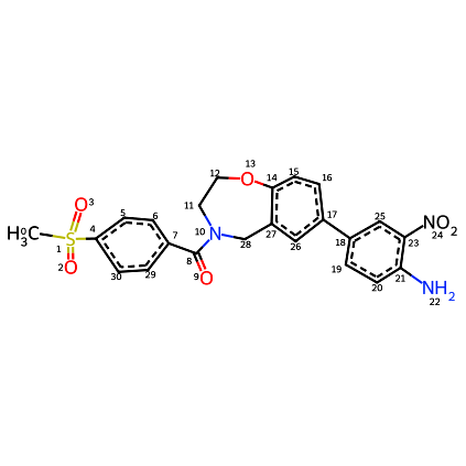 CS(=O)(=O)c1ccc(C(=O)N2CCOc3ccc(-c4ccc(N)c([N+](=O)[O-])c4)cc3C2)cc1